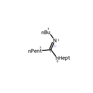 CCCCCCC/C(CCCCC)=N/CCCC